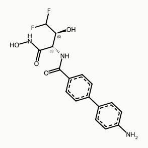 Nc1ccc(-c2ccc(C(=O)N[C@H](C(=O)NO)[C@H](O)C(F)F)cc2)cc1